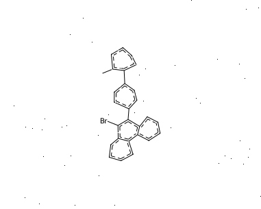 Cc1ccccc1-c1ccc(-c2c(Br)c3ccccc3c3ccccc23)cc1